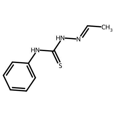 C/C=N/NC(=S)Nc1ccccc1